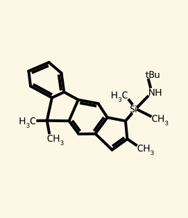 CC1=Cc2cc3c(cc2C1[Si](C)(C)NC(C)(C)C)-c1ccccc1C3(C)C